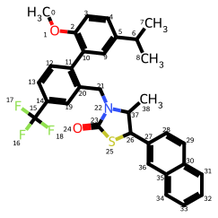 COc1ccc(C(C)C)cc1-c1ccc(C(F)(F)F)cc1CN1C(=O)SC(c2ccc3ccccc3c2)C1C